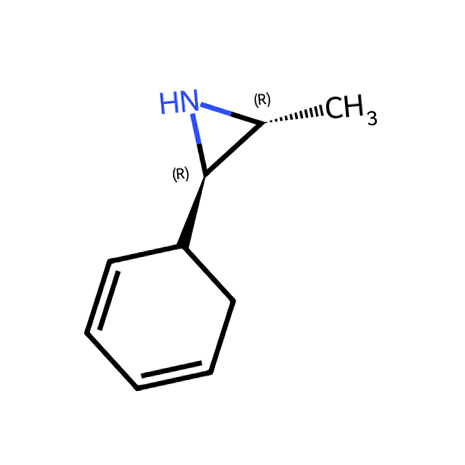 C[C@H]1N[C@@H]1C1C=CC=CC1